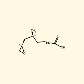 C[C@@H](CCNC(=O)O)C[C@@H]1CO1